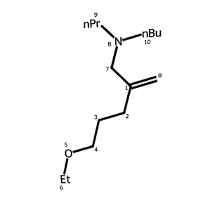 C=C(CCCOCC)CN(CCC)CCCC